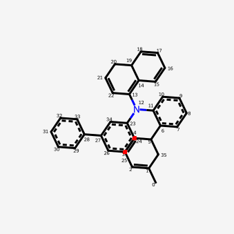 CC1=CC=CC(c2ccccc2N(C2=C3C=CC=CC3CC=C2)c2cccc(-c3ccccc3)c2)C1